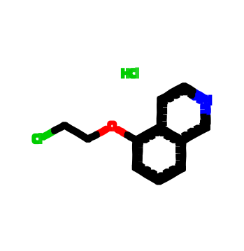 Cl.ClCCOc1cccc2cnccc12